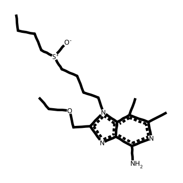 CCCC[S+]([O-])CCCCn1c(COCC)nc2c(N)nc(C)c(C)c21